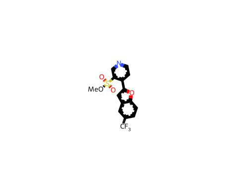 COS(=O)(=O)c1cnccc1-c1cc2cc(C(F)(F)F)ccc2o1